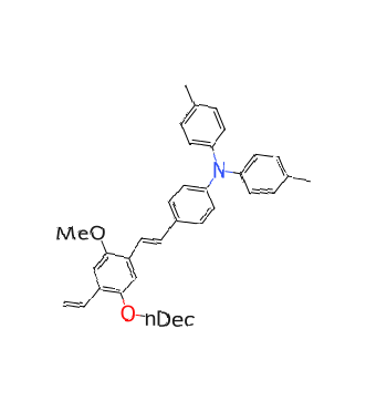 C=Cc1cc(OC)c(C=Cc2ccc(N(c3ccc(C)cc3)c3ccc(C)cc3)cc2)cc1OCCCCCCCCCC